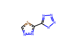 c1nnc(C2=NN=N[N]2)s1